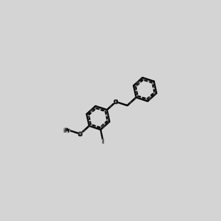 CC(C)Oc1ccc(OCc2ccccc2)cc1I